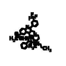 CCCN(C)C1CCN(Cc2c(-c3cccc(C(F)(F)F)c3)nc3ccc(S(C)(=O)=O)cc3c2C(=O)N[C@H](c2ccccc2)C(F)(F)F)CC1